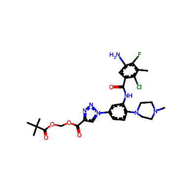 Cc1c(F)c(N)cc(C(=O)Nc2cc(-n3cc(C(=O)OCOC(=O)C(C)(C)C)nn3)ccc2N2CCN(C)CC2)c1Cl